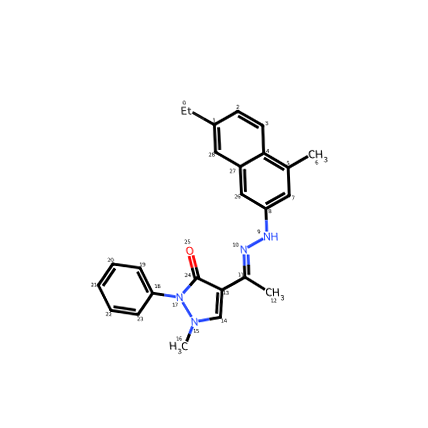 CCc1ccc2c(C)cc(N/N=C(\C)c3cn(C)n(-c4ccccc4)c3=O)cc2c1